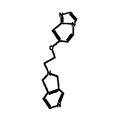 c1cc2c(cn1)CN(CCOc1ccn3ccnc3c1)C2